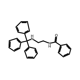 O=C(NCCNC(c1ccccc1)(c1ccccc1)c1ccccc1)c1ccccc1